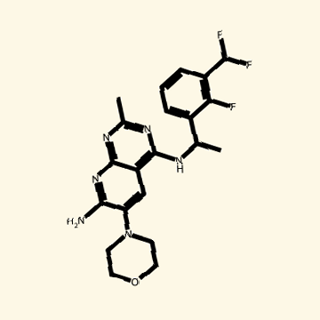 Cc1nc(NC(C)c2cccc(C(F)F)c2F)c2cc(N3CCOCC3)c(N)nc2n1